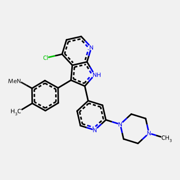 CNc1cc(-c2c(-c3ccnc(N4CCN(C)CC4)c3)[nH]c3nccc(Cl)c23)ccc1C